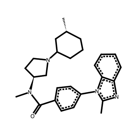 Cc1nc2ccccc2n1-c1ccc(C(=O)N(C)[C@H]2CCN(C3CCC[C@@H](C)C3)C2)cc1